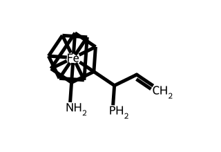 C=CC(P)[C]12[CH]3[CH]4[CH]5[C]1(N)[Fe]45321678[CH]2[CH]1[CH]6[CH]7[CH]28